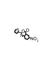 O=c1oc(-c2cccs2)nc2ccc([N+](=O)[O-])cc12